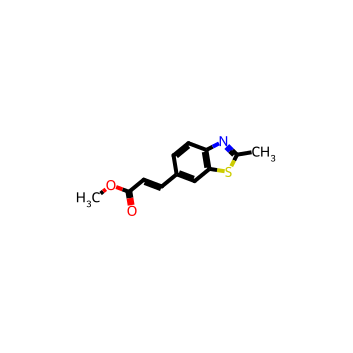 COC(=O)C=Cc1ccc2nc(C)sc2c1